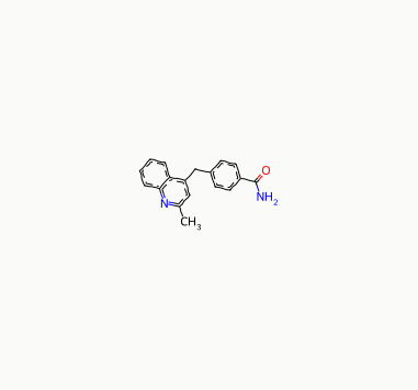 Cc1cc(Cc2ccc(C(N)=O)cc2)c2ccccc2n1